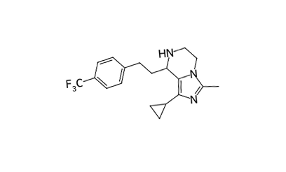 Cc1nc(C2CC2)c2n1CCNC2CCc1ccc(C(F)(F)F)cc1